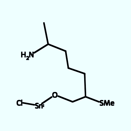 CSC(CCCC(C)N)C[O][Sn][Cl]